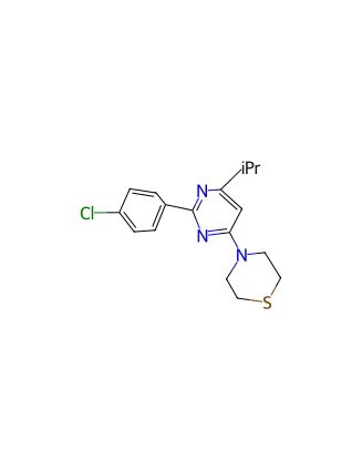 CC(C)c1cc(N2CCSCC2)nc(-c2ccc(Cl)cc2)n1